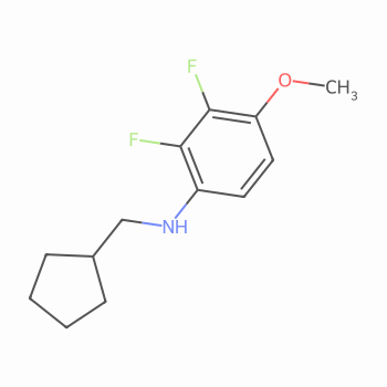 COc1ccc(NCC2CCCC2)c(F)c1F